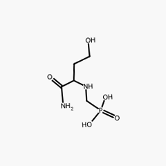 NC(=O)C(CCO)NCP(=O)(O)O